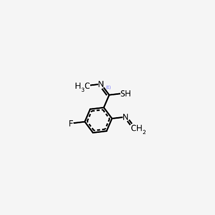 C=Nc1ccc(F)cc1/C(S)=N\C